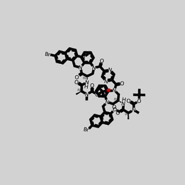 COc1ccc2cc(Br)ccc2c1CN1C(=O)[C@@H](NC(=O)[C@H](C)N(C)C(=O)OC(C)(C)C)CN(C(=O)c2cnc(C(=O)N3C[C@H](NC(=O)[C@H](C)N(C)C(=O)OC(C)(C)C)C(=O)N(Cc4c(OC)ccc5cc(Br)ccc45)c4ccccc43)cn2)c2ccccc21